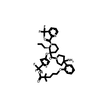 CCC[C@H]1N(C(=O)c2ncccc2C(F)(F)F)CCC[C@@]1(Oc1csc(C(F)(F)F)c1)C(=O)N1CCC(N)(c2ccccc2OCCCC(C)(C)C(=O)O)CC1